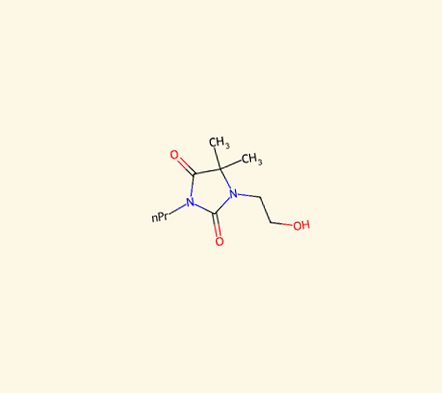 CCCN1C(=O)N(CCO)C(C)(C)C1=O